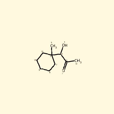 CC(=O)C(O)C1(C)CCCCC1